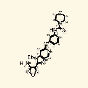 CCn1c(-c2nonc2N)nc2cnc(Oc3cccc(NC(=O)N4CCOCC4)c3)cc21